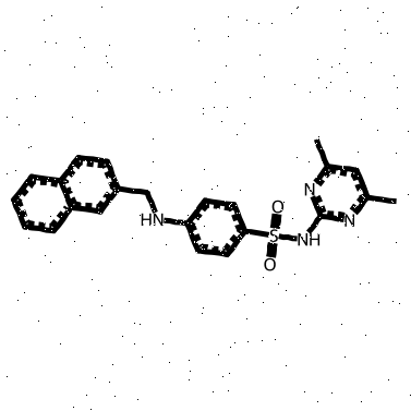 Cc1cc(C)nc(NS(=O)(=O)c2ccc(NCc3ccc4ccccc4c3)cc2)n1